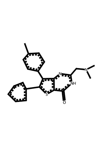 Cc1ccc(-c2c(-c3ccccc3)sc3c(=O)[nH]c(CN(C)C)nc23)cc1